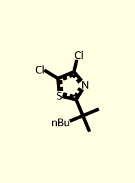 CCCCC(C)(C)c1nc(Cl)c(Cl)s1